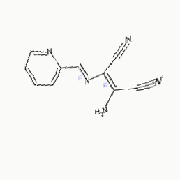 N#C/C(N)=C(C#N)/N=C/c1ccccn1